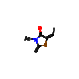 C=c1s/c(=C/C)c(=O)n1C(C)=O